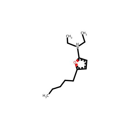 CCCCCc1ccc([SiH](CC)CC)o1